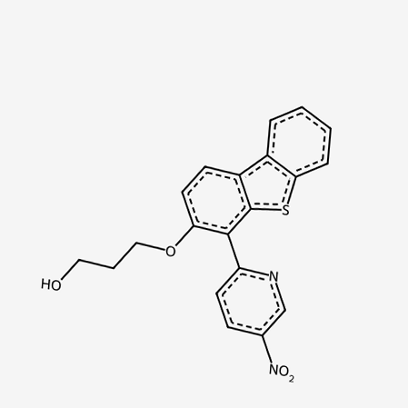 O=[N+]([O-])c1ccc(-c2c(OCCCO)ccc3c2sc2ccccc23)nc1